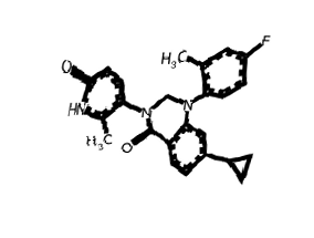 Cc1cc(F)ccc1N1CN(c2ccc(=O)[nH]c2C)C(=O)c2ccc(C3CC3)cc21